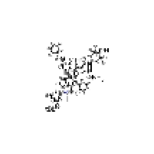 CC(C)C[C@@H](/C=C/[C@H](Cc1ccccc1)C(=O)N1CCC[C@H]1C(=O)N[C@H](C(=O)N[C@@H](CCCN)C(=O)NC1CC(C)(C)N(O)C(C)(C)C1)C(C)C(=O)OCc1ccccc1)NC(=O)OC(C)(C)C